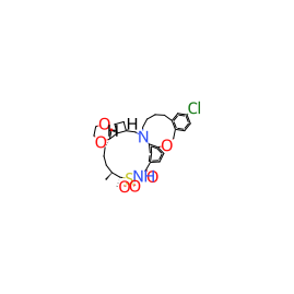 C[C@@H]1[C@@H](C)CCC[C@]2(COCCO2)[C@@H]2CC[C@H]2CN2CCCCc3cc(Cl)ccc3COc3ccc(cc32)C(=O)NS1(=O)=O